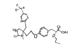 CCCOC(Cc1ccc(OCCC2(Cc3ccc(C(F)(F)F)cc3)CNC(=O)N2C)cc1)C(=O)O